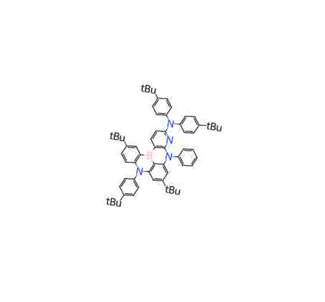 CC(C)(C)c1ccc(N(c2ccc(C(C)(C)C)cc2)c2ccc3c(n2)N(c2ccccc2)c2cc(C(C)(C)C)cc4c2B3c2cc(C(C)(C)C)ccc2N4c2ccc(C(C)(C)C)cc2)cc1